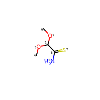 COC(OC)C(N)=S